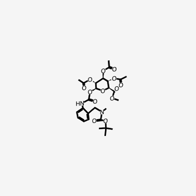 COC(=O)[C@H]1O[C@@H](OC(=O)Nc2ccccc2CN(C)C(=O)OC(C)(C)C)[C@H](OC(C)=O)[C@@H](OC(C)=O)[C@@H]1OC(C)=O